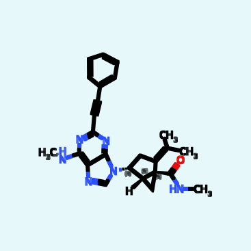 CNC(=O)[C@@]12C[C@@H]1[C@H](n1cnc3c(NC)nc(C#Cc4ccccc4)nc31)CC2=C(C)C